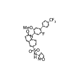 COc1cc(-c2ccc(C(F)(F)F)cc2)c(F)cc1-n1c(=O)ccc2cc(S(=O)(=O)Nc3ccon3)ccc21